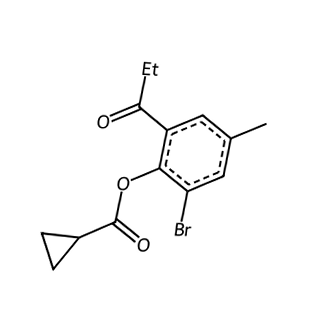 CCC(=O)c1cc(C)cc(Br)c1OC(=O)C1CC1